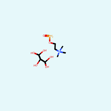 C[N+](C)(C)CCO[PH2]=O.OC(O)C(O)C(O)O